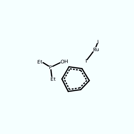 CCP(O)CC.[I][Ru][I].c1ccccc1